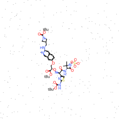 C[n+]1cc2cc(OCC(O/N=C(\C(=O)N[C@@H]3C(=O)N(OS(=O)(=O)[O-])C3(C)C)c3csc(NC(=O)OC(C)(C)C)n3)C(=O)OC(C)(C)C)ccc2cc1NCC1CN(C(=O)OC(C)(C)C)C1